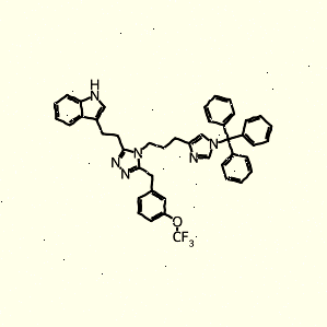 FC(F)(F)Oc1cccc(Cc2nnc(CCc3c[nH]c4ccccc34)n2CCCc2cn(C(c3ccccc3)(c3ccccc3)c3ccccc3)cn2)c1